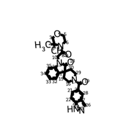 CC1(C)COCCN1C(=O)CN1C(=O)C2(CCN(C(=O)c3ccc4[nH]ncc4c3)CC2)c2ccccc21